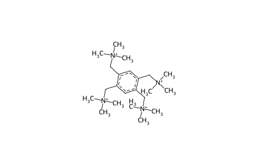 C[N+](C)(C)Cc1cc(C[N+](C)(C)C)c(C[N+](C)(C)C)cc1C[N+](C)(C)C